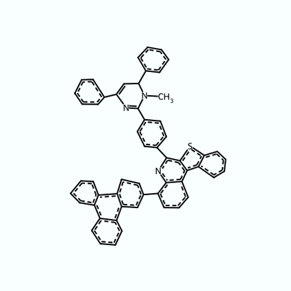 CN1C(c2ccc(-c3nc4c(-c5ccc6c7ccccc7c7ccccc7c6c5)cccc4c4c3sc3ccccc34)cc2)=NC(c2ccccc2)=CC1c1ccccc1